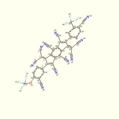 N#CC(C#N)=C1C(c2ccc(OC(F)(F)F)c(C#N)c2)=C(C#N)c2c(C#N)c3c(c(C#N)c21)C(C#N)=C(c1ccc(C#N)c(C(F)(F)F)c1)C3=C(C#N)C#N